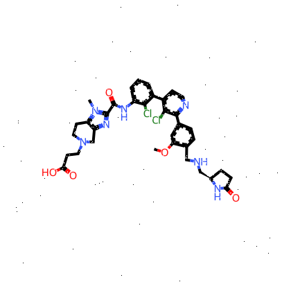 COc1cc(-c2nccc(-c3cccc(NC(=O)c4nc5c(n4C)CCN(CCC(=O)O)C5)c3Cl)c2Cl)ccc1CNC[C@H]1CCC(=O)N1